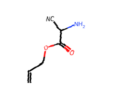 C=CCOC(=O)C(N)C#N